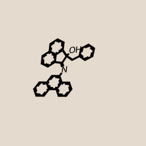 OC1(Cc2ccccc2)/C(=N/c2cc3ccccc3c3ccccc23)c2cccc3cccc1c23